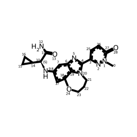 Cn1nc(-c2nc3cc(N[C@H](C(N)=O)C4CC4)cc4c3n2CCCO4)ccc1=O